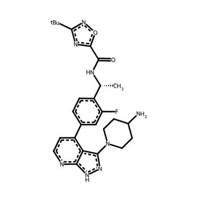 C[C@@H](NC(=O)c1nc(C(C)(C)C)no1)c1ccc(-c2ccnc3[nH]nc(N4CCC(N)CC4)c23)cc1F